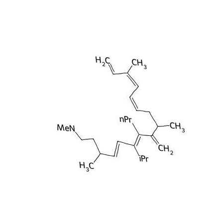 C=C/C(C)=C\C=C/CC(C)C(=C)/C(CCC)=C(/C=C/C(C)CCNC)C(C)C